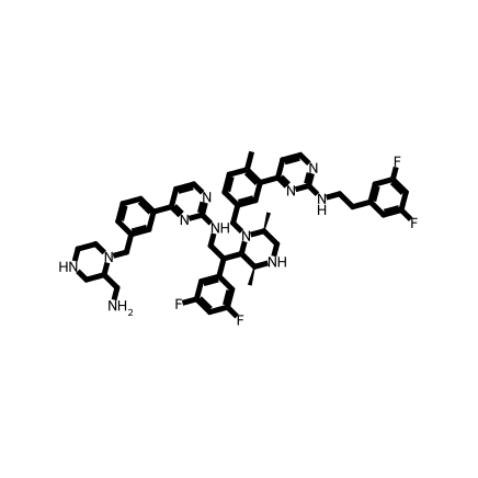 Cc1ccc(CN2C(C(CNc3nccc(-c4cccc(CN5CCNCC5CN)c4)n3)c3cc(F)cc(F)c3)[C@H](C)NC[C@@H]2C)cc1-c1ccnc(NCCc2cc(F)cc(F)c2)n1